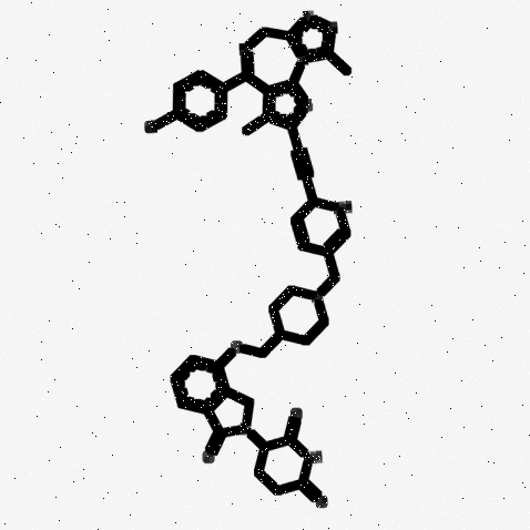 Cc1c(C#CC2C=CC(CN3CCC(COc4cccc5c4CN(C4CCC(=O)NC4=O)C5=O)CC3)=CN2)sc2c1C(c1ccc(Cl)cc1)=NCc1nnc(C)n1-2